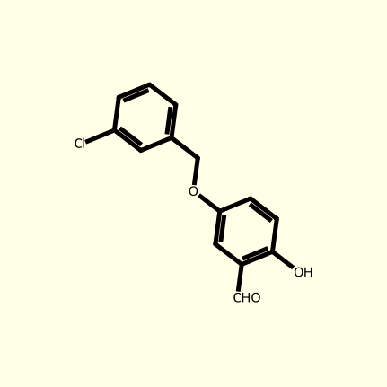 O=Cc1cc(OCc2cccc(Cl)c2)ccc1O